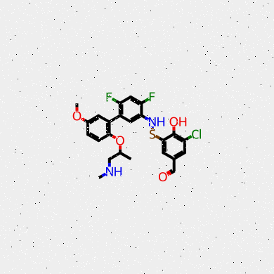 CNCC(C)Oc1ccc(OC)cc1-c1cc(NSc2cc(C=O)cc(Cl)c2O)c(F)cc1F